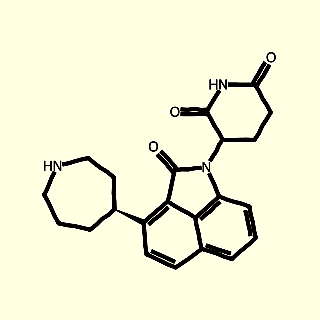 O=C1CCC(N2C(=O)c3c([C@H]4CCCNCC4)ccc4cccc2c34)C(=O)N1